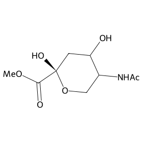 COC(=O)[C@]1(O)CC(O)C(NC(C)=O)CO1